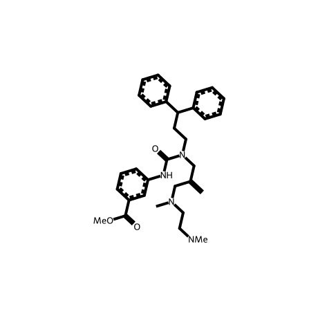 C=C(CN(C)CCNC)CN(CCC(c1ccccc1)c1ccccc1)C(=O)Nc1cccc(C(=O)OC)c1